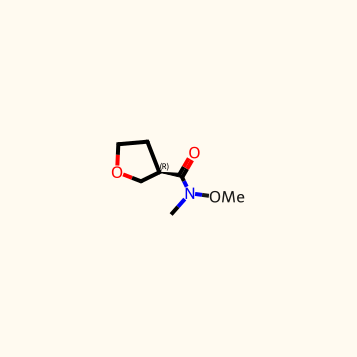 CON(C)C(=O)[C@@H]1CCOC1